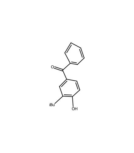 CCC(C)c1cc(C(=O)c2ccccc2)ccc1O